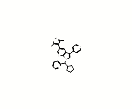 Cc1noc(C)c1-c1cnc2c(c1)c(-c1ccncc1)cn2C(c1ccccn1)C1CCCC1